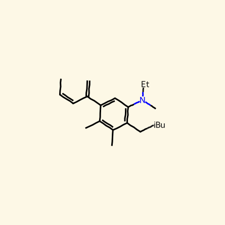 C=C(/C=C\C)c1cc(N(C)CC)c(CC(C)CC)c(C)c1C